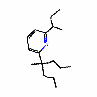 CCCC(C)(CCC)c1cccc(C(C)CC)n1